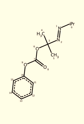 CC(C)/N=N/C(C)(C)OC(=O)Oc1ccccc1